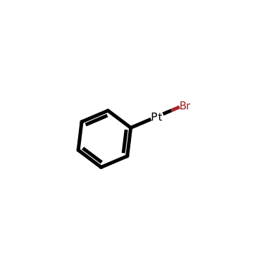 [Br][Pt][c]1ccccc1